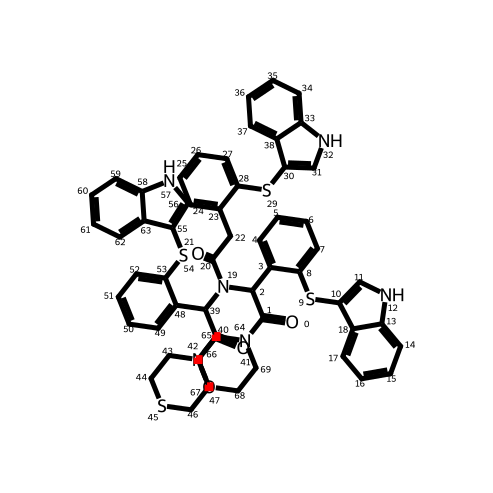 O=C(C(c1ccccc1Sc1c[nH]c2ccccc12)N(C(=O)Cc1ccccc1Sc1c[nH]c2ccccc12)C(C(=O)N1CCSCC1)c1ccccc1Sc1c[nH]c2ccccc12)N1CCOCC1